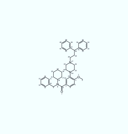 COc1ccc(C(=O)N(Cc2ccccc2)C2CCCCC2)cc1N1CCN(CCC(c2ccccc2)c2ccccc2)CC1